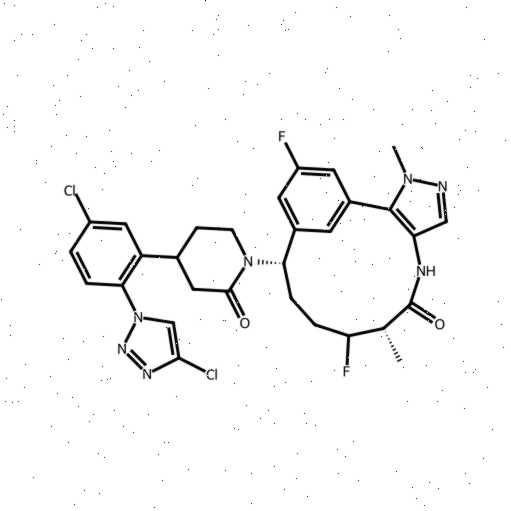 C[C@H]1C(=O)Nc2cnn(C)c2-c2cc(F)cc(c2)[C@@H](N2CCC(c3cc(Cl)ccc3-n3cc(Cl)nn3)CC2=O)CCC1F